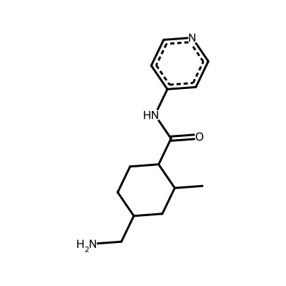 CC1CC(CN)CCC1C(=O)Nc1ccncc1